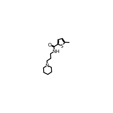 Cc1ccc(C(=O)NCCCN2CCCCC2)s1